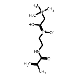 C=C(C)C(=O)NCC/[P+]([O-])=C(\O)C[N+](C)(C)C